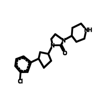 O=C1N(C2CCNCC2)CCN1C1CCC(c2cccc(Cl)c2)C1